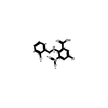 O=C(O)c1cc(Cl)cc([N+](=O)[O-])c1NCc1ccccc1Cl